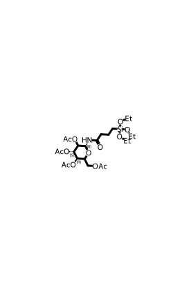 CCO[Si](CCCC(=O)N[C@@H]1OC(COC(C)=O)[C@@H](OC(C)=O)[C@H](OC(C)=O)C1OC(C)=O)(OCC)OCC